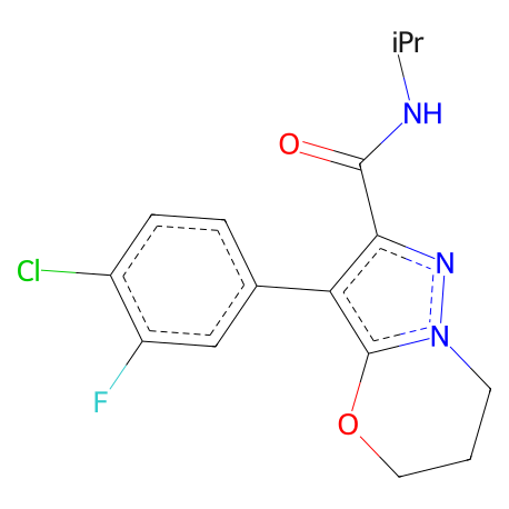 CC(C)NC(=O)c1nn2c(c1-c1ccc(Cl)c(F)c1)OCCC2